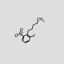 CCCCCc1c(I)cccc1[N+](=O)[O-]